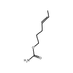 CC=CCCCOC(N)=O